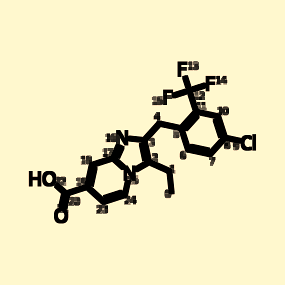 CCc1c(Cc2ccc(Cl)cc2C(F)(F)F)nc2cc(C(=O)O)ccn12